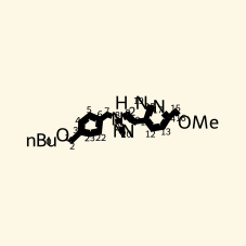 CCCCOCc1ccc(Cn2cc(-c3ccc(COC)nc3N)nn2)cc1